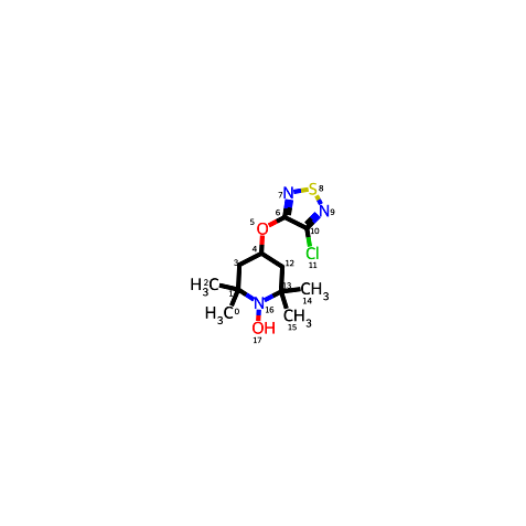 CC1(C)CC(Oc2nsnc2Cl)CC(C)(C)N1O